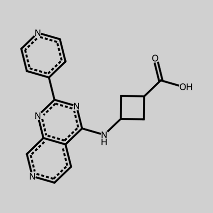 O=C(O)C1CC(Nc2nc(-c3ccncc3)nc3cnccc23)C1